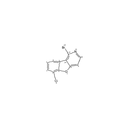 Clc1cccc2c1oc1ccnc(Br)c12